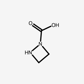 O=C(O)N1CCN1